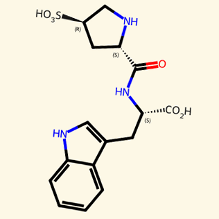 O=C(O)[C@H](Cc1c[nH]c2ccccc12)NC(=O)[C@@H]1C[C@@H](S(=O)(=O)O)CN1